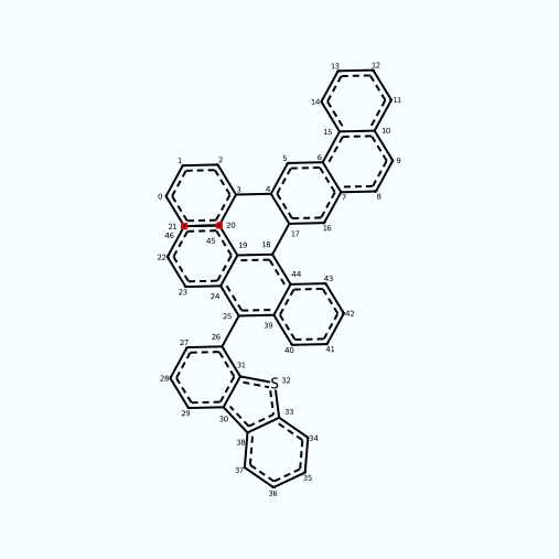 c1ccc(-c2cc3c(ccc4ccccc43)cc2-c2c3ccccc3c(-c3cccc4c3sc3ccccc34)c3ccccc23)cc1